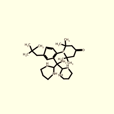 CC(C)(C)Cc1ccc(P2C(C)(C)CC(=O)CC2(C)C)c(C(P)(C2NCCCN2)C2NCCCN2)c1